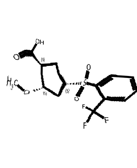 CO[C@H]1C[C@@H](S(=O)(=O)c2ccccc2C(F)(F)F)C[C@@H]1C(=O)O